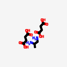 CC(N)CN.O=C(O)CCC(=O)O.O=C(O)CCC(=O)O